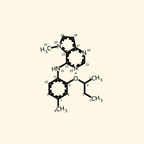 CCC(C)Oc1cc(C)ccc1Nc1ncnc2ccn(C)c12